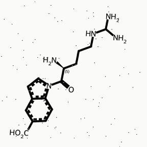 NC(N)NCCC[C@H](N)C(=O)n1ccc2cc(C(=O)O)ccc21